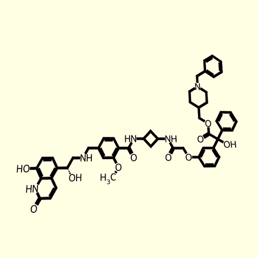 COc1cc(CNC[C@H](O)c2ccc(O)c3[nH]c(=O)ccc23)ccc1C(=O)NC1CC(NC(=O)COc2cccc(C(O)(C(=O)OCC3CCN(Cc4ccccc4)CC3)c3ccccc3)c2)C1